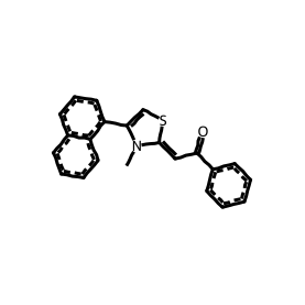 CN1C(=CC(=O)c2ccccc2)SC=C1c1cccc2ccccc12